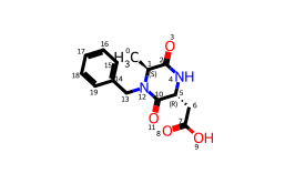 C[C@H]1C(=O)N[C@H](CC(=O)O)C(=O)N1Cc1ccccc1